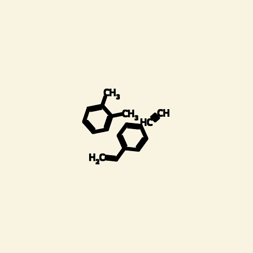 C#C.C=Cc1ccccc1.Cc1ccccc1C